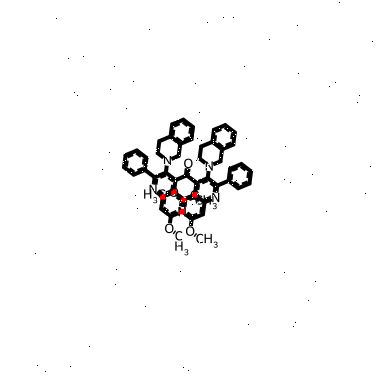 COc1cc2nc(-c3ccccc3)c(N3CCc4ccccc4C3)c(C(=O)c3c(N4CCc5ccccc5C4)c(-c4ccccc4)nc4cc(OC)nc(OC)c34)c2c(OC)n1